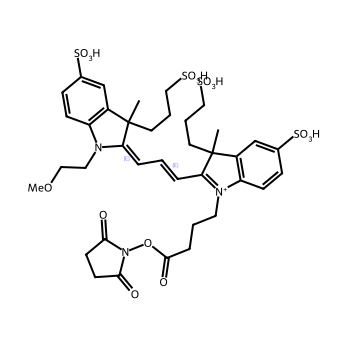 COCCN1/C(=C/C=C/C2=[N+](CCCC(=O)ON3C(=O)CCC3=O)c3ccc(S(=O)(=O)O)cc3C2(C)CCCS(=O)(=O)O)C(C)(CCCS(=O)(=O)O)c2cc(S(=O)(=O)O)ccc21